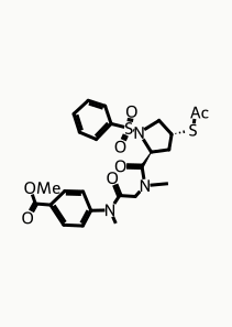 COC(=O)c1ccc(N(C)C(=O)CN(C)C(=O)[C@@H]2C[C@@H](SC(C)=O)CN2S(=O)(=O)c2ccccc2)cc1